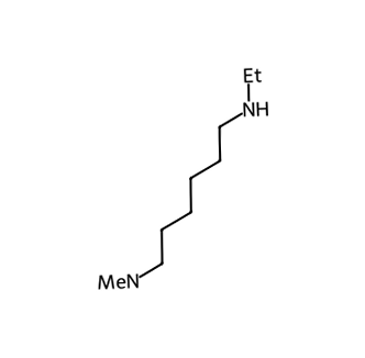 CCNCCCCCCNC